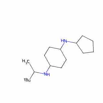 CC(NC1CCC(NC2CCCC2)CC1)C(C)(C)C